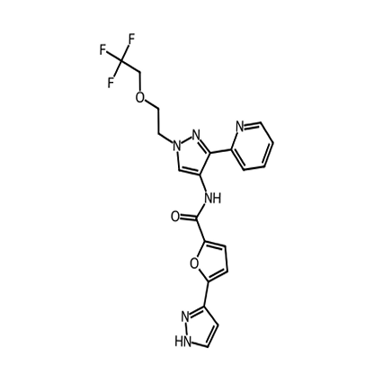 O=C(Nc1cn(CCOCC(F)(F)F)nc1-c1ccccn1)c1ccc(-c2cc[nH]n2)o1